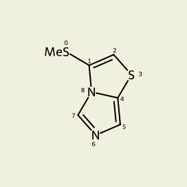 CSc1csc2cncn12